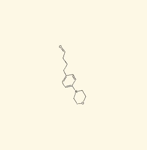 O=CCCCc1ccc(N2CCOCC2)cc1